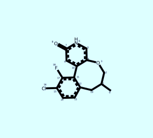 CC1COc2c[nH]c(=O)cc2-c2c(ccc(Cl)c2F)C1